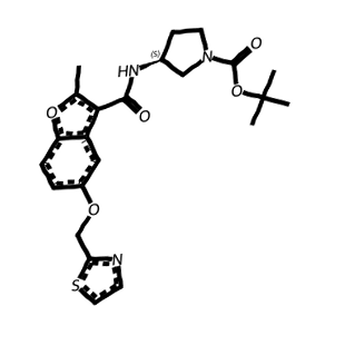 Cc1oc2ccc(OCc3nccs3)cc2c1C(=O)N[C@H]1CCN(C(=O)OC(C)(C)C)C1